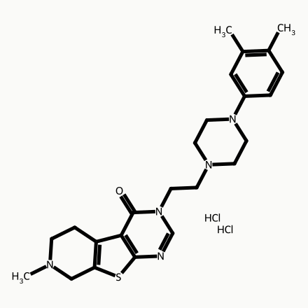 Cc1ccc(N2CCN(CCn3cnc4sc5c(c4c3=O)CCN(C)C5)CC2)cc1C.Cl.Cl